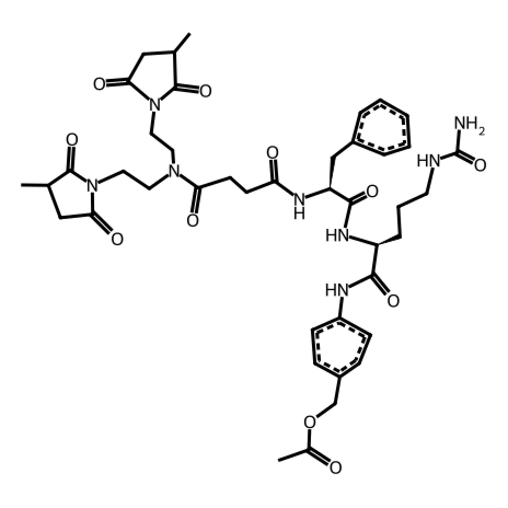 CC(=O)OCc1ccc(NC(=O)[C@H](CCCNC(N)=O)NC(=O)[C@H](Cc2ccccc2)NC(=O)CCC(=O)N(CCN2C(=O)CC(C)C2=O)CCN2C(=O)CC(C)C2=O)cc1